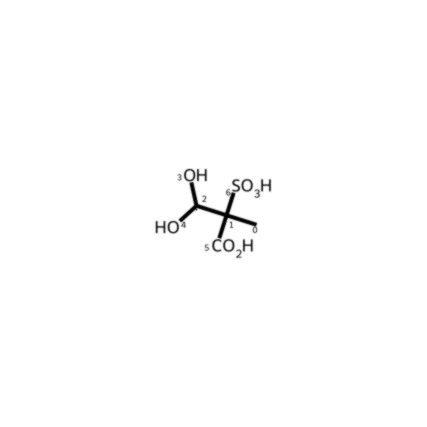 CC([C](O)O)(C(=O)O)S(=O)(=O)O